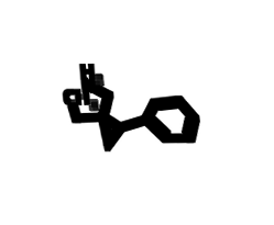 CCC1(CN)CC1c1ccccc1